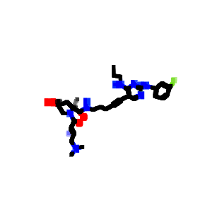 CCCNc1nc(Nc2cccc(F)c2)ncc1C#CCCCNC(=O)[C@]1(C)C[C@H](O)CN1C(=O)/C=C/CN(C)C